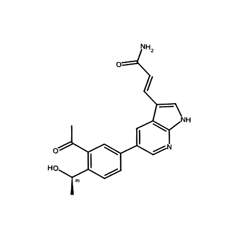 CC(=O)c1cc(-c2cnc3[nH]cc(C=CC(N)=O)c3c2)ccc1[C@@H](C)O